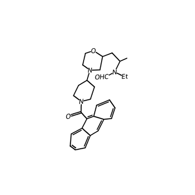 CCN(C=O)C(C)CC1CN(C2CCN(C(=O)c3c4ccccc4cc4ccccc34)CC2)CCO1